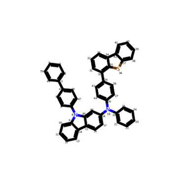 c1ccc(-c2ccc(-n3c4ccccc4c4ccc(N(c5ccccc5)c5ccc(-c6cccc7c6sc6ccccc67)cc5)cc43)cc2)cc1